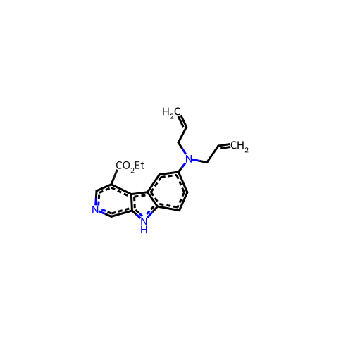 C=CCN(CC=C)c1ccc2[nH]c3cncc(C(=O)OCC)c3c2c1